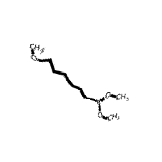 COCCCCC=CB(OC)OC